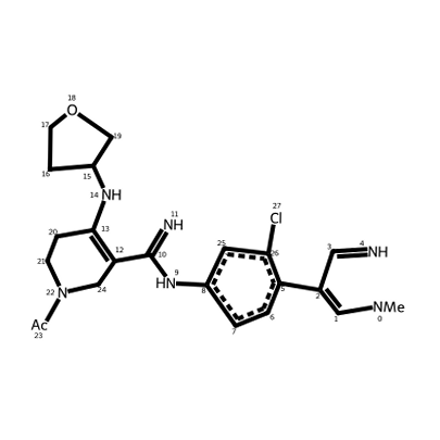 CN/C=C(\C=N)c1ccc(NC(=N)C2=C(NC3CCOC3)CCN(C(C)=O)C2)cc1Cl